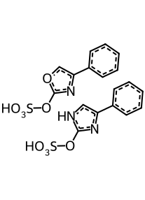 O=S(=O)(O)Oc1nc(-c2ccccc2)c[nH]1.O=S(=O)(O)Oc1nc(-c2ccccc2)co1